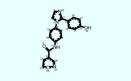 O=C(Nc1ccc(-n2ccnc2-c2ccc(O)cc2)cc1)c1cccnc1